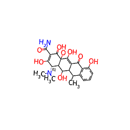 CC1c2cccc(O)c2C(=O)C2=C(O)C3(O)C(=O)C(C(N)=O)=C(O)[C@@H](N(C)C)C3C(O)C21